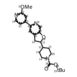 COc1cc(-c2cc3c(cn2)OC(C2CCN(C(=O)OC(C)(C)C)CC2)C3)ccn1